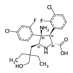 CCC(CC)(CO)C[C@@H]1N[C@@H](C(=O)O)[C@H](c2cccc(Cl)c2F)[C@@]1(N)c1ccc(Cl)cc1F